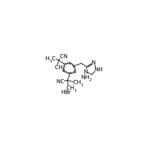 Br.CC(C)(C#N)c1cc(CC2=NNCN2N)cc(C(C)(C)C#N)c1